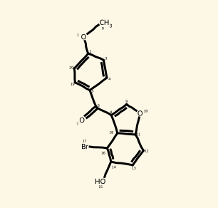 COc1ccc(C(=O)c2coc3ccc(O)c(Br)c23)cc1